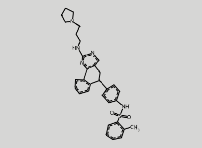 Cc1ccccc1S(=O)(=O)Nc1ccc(C2Cc3cnc(NCCCN4CCCC4)nc3-c3ccccc32)cc1